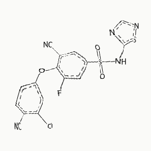 N#Cc1ccc(Oc2c(F)cc(S(=O)(=O)Nc3ncns3)cc2C#N)cc1Cl